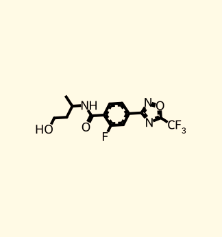 CC(CCO)NC(=O)c1ccc(-c2noc(C(F)(F)F)n2)cc1F